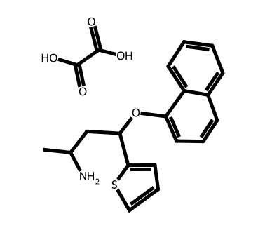 CC(N)CC(Oc1cccc2ccccc12)c1cccs1.O=C(O)C(=O)O